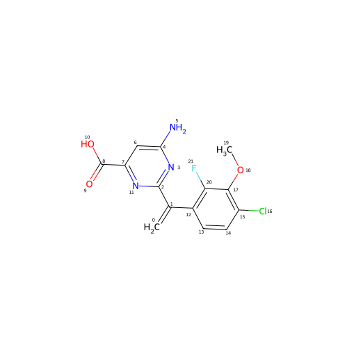 C=C(c1nc(N)cc(C(=O)O)n1)c1ccc(Cl)c(OC)c1F